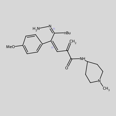 C=C(/C=C(\C(CCCC)=N/N)c1ccc(OC)cc1)C(=O)NC1CCN(C)CC1